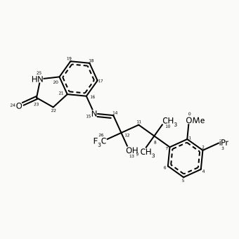 COc1c(C(C)C)cccc1C(C)(C)CC(O)(C=Nc1cccc2c1CC(=O)N2)C(F)(F)F